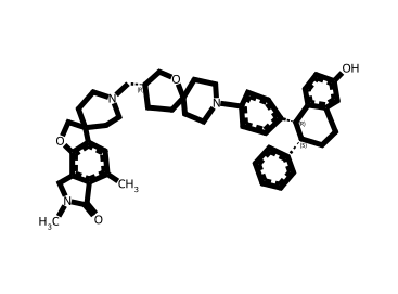 Cc1cc2c(c3c1C(=O)N(C)C3)OCC21CCN(C[C@H]2CCC3(CCN(c4ccc([C@@H]5c6ccc(O)cc6CC[C@@H]5c5ccccc5)cc4)CC3)OC2)CC1